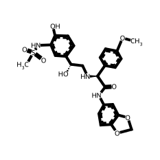 COc1ccc([C@H](NC[C@H](O)c2ccc(O)c(NS(C)(=O)=O)c2)C(=O)Nc2ccc3c(c2)OCO3)cc1